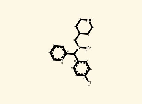 CC(C)N(CC1CCNCC1)C(c1ccc(Cl)cc1)c1ccccn1